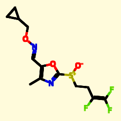 Cc1nc([S+]([O-])CCC(F)=C(F)F)oc1C=NOCC1CC1